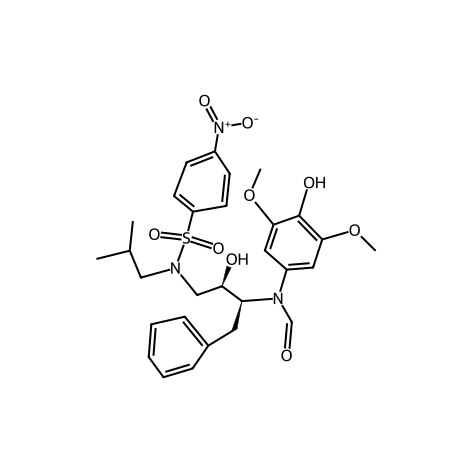 COc1cc(N(C=O)[C@@H](Cc2ccccc2)[C@H](O)CN(CC(C)C)S(=O)(=O)c2ccc([N+](=O)[O-])cc2)cc(OC)c1O